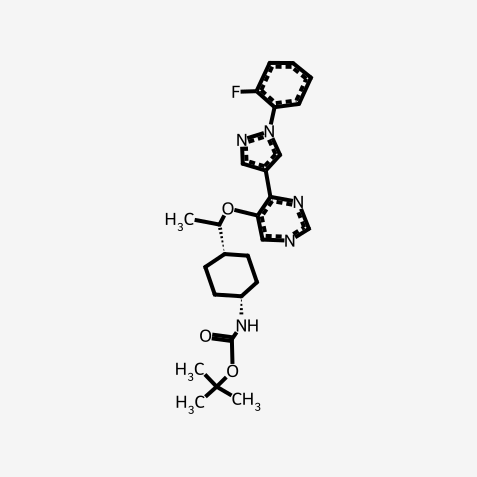 CC(Oc1cncnc1-c1cnn(-c2ccccc2F)c1)[C@H]1CC[C@@H](NC(=O)OC(C)(C)C)CC1